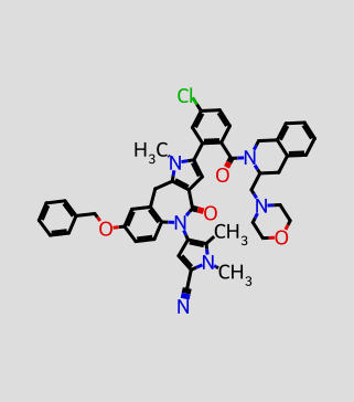 Cc1c(N2C(=O)c3cc(-c4cc(Cl)ccc4C(=O)N4Cc5ccccc5CC4CN4CCOCC4)n(C)c3Cc3cc(OCc4ccccc4)ccc32)cc(C#N)n1C